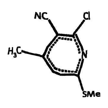 CSc1cc(C)c(C#N)c(Cl)n1